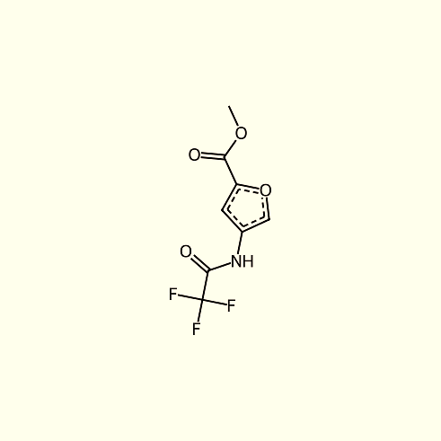 COC(=O)c1cc(NC(=O)C(F)(F)F)co1